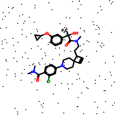 CN(C)C(=O)c1ccc(N2CCC3(C#CC3CCN(C)C(=O)C(O)(c3cccc(OC4CC4)c3)C(F)(F)F)CC2)cc1Cl